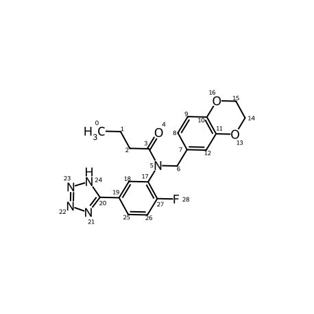 CCCC(=O)N(Cc1ccc2c(c1)OCCO2)c1cc(-c2nnn[nH]2)ccc1F